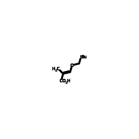 CC(=COCC(C)(C)C)C(=O)O